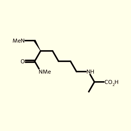 CNC[C@@H](CCCCNC(C)C(=O)O)C(=O)NC